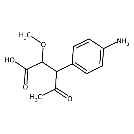 COC(C(=O)O)C(C(C)=O)c1ccc(N)cc1